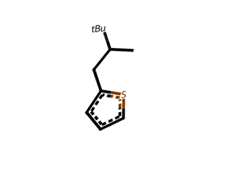 CC(Cc1cccs1)C(C)(C)C